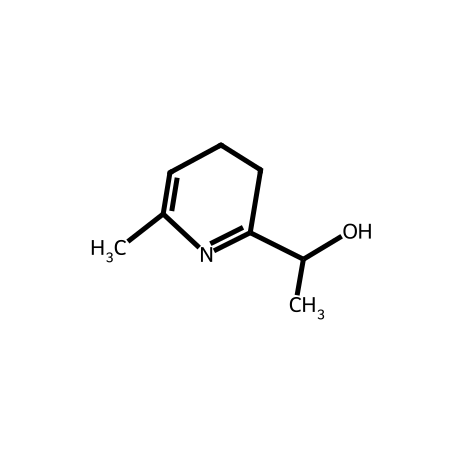 CC1=CCCC(C(C)O)=N1